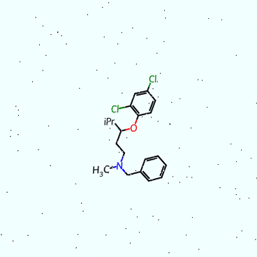 CC(C)C(CCN(C)Cc1ccccc1)Oc1ccc(Cl)cc1Cl